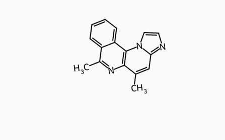 Cc1nc2c(C)cc3nccn3c2c2ccccc12